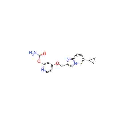 NC(=O)Oc1cc(OCc2cn3cc(C4CC4)ccc3n2)ccn1